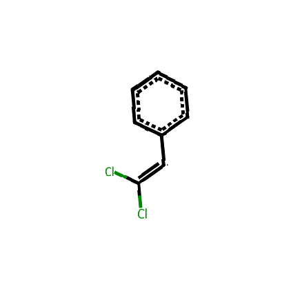 ClC(Cl)=[C]c1ccccc1